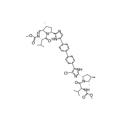 COC(=O)N[C@H](C(=O)N1[C@H](c2ncc(-c3ccc(-c4ccc(-c5[nH]c([C@@H]6C[C@@H](C)[C@H](C)N6C(=O)[C@@H](NC(=O)OC)C(C)C)nc5Cl)cc4)cc3)[nH]2)C[C@@H](C)[C@@H]1C)C(C)C